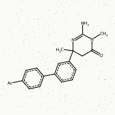 CC(=O)c1ccc(-c2cccc(C3(C)CC(=O)N(C)C(N)=N3)c2)cc1